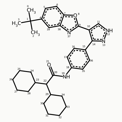 CC(C)(C)c1ccc2oc(-c3c[nH]nc3-c3ccc(NC(=O)C(C4CCCCC4)C4CCCCC4)cc3)nc2c1